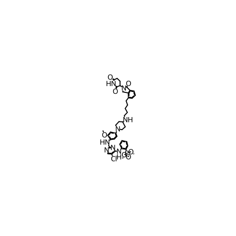 COc1cc(N2CCC(NCCCCCc3cccc4c3CN(C3CCC(=O)NC3=O)C4=O)CC2)ccc1Nc1ncc(Cl)c(Nc2ccccc2P(=O)(OC)OC)n1